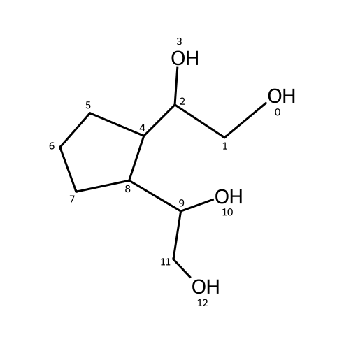 OCC(O)C1CCCC1C(O)CO